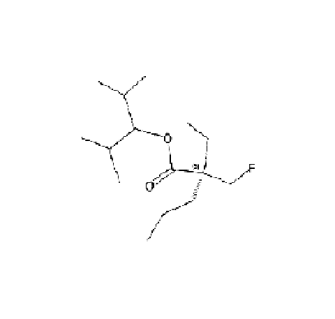 CCC[C@](CC)(CF)C(=O)OC(C(C)C)C(C)C